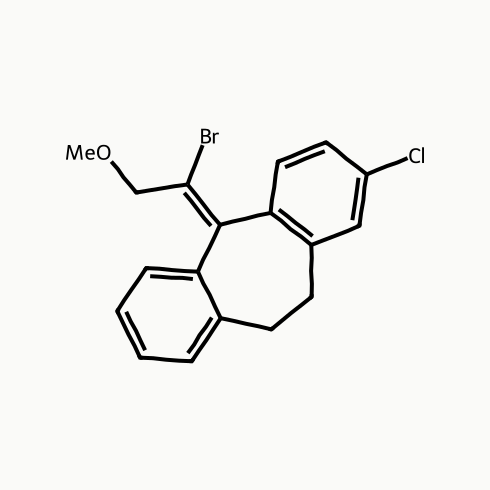 COC/C(Br)=C1\c2ccccc2CCc2cc(Cl)ccc21